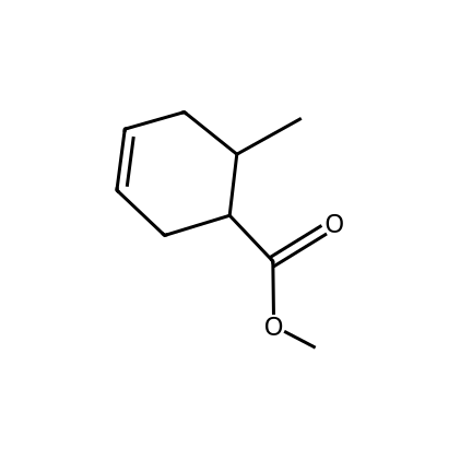 COC(=O)C1CC=CCC1C